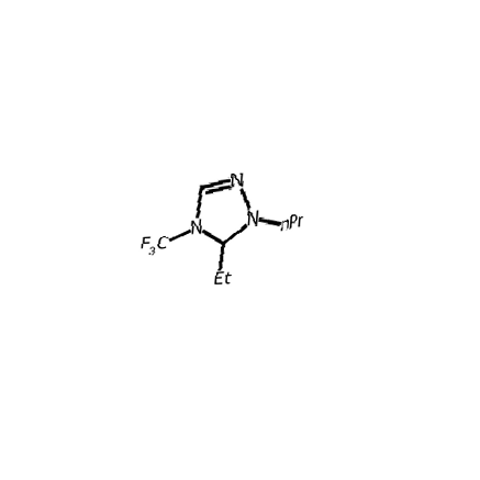 CCCN1N=CN(C(F)(F)F)C1CC